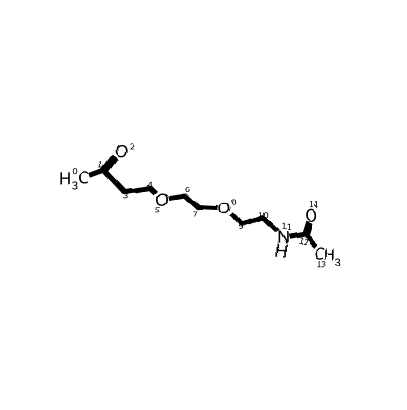 CC(=O)CCOCCOCCNC(C)=O